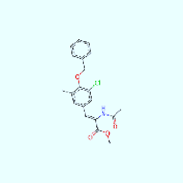 COC(=O)/C(=C/c1cc(C)c(OCc2ccccc2)c(Cl)c1)NC(C)=O